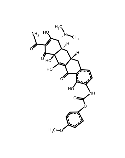 COc1ccc(OC(=O)Nc2ccc3c(c2O)C(=O)C2=C(O)[C@]4(O)C(=O)C(C(N)=O)=C(O)[C@H](N(C)C)[C@H]4C[C@@H]2C3)cc1